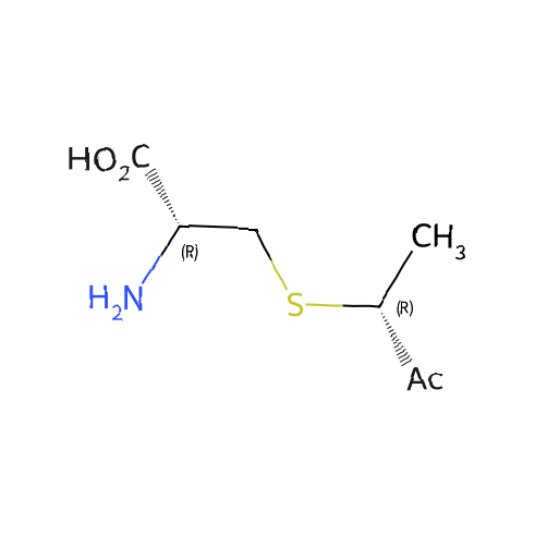 CC(=O)[C@@H](C)SC[C@H](N)C(=O)O